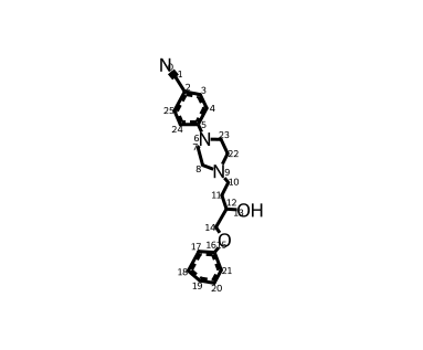 N#Cc1ccc(N2CCN(CCC(O)COc3ccccc3)CC2)cc1